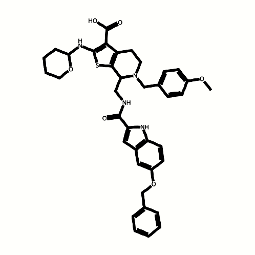 COc1ccc(CN2CCc3c(sc(NC4CCCCO4)c3C(=O)O)C2CNC(=O)c2cc3cc(OCc4ccccc4)ccc3[nH]2)cc1